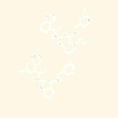 CN1CCCc2nc(NC(=O)c3cccc4[nH]ncc34)nc(NCc3cccc(F)c3)c21.O=C(Nc1nc2c(c(NCc3cccc(F)c3)n1)COC2)c1cc(F)cc2[nH]ncc12